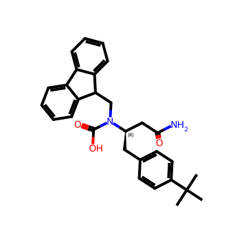 CC(C)(C)c1ccc(C[C@H](CC(N)=O)N(CC2c3ccccc3-c3ccccc32)C(=O)O)cc1